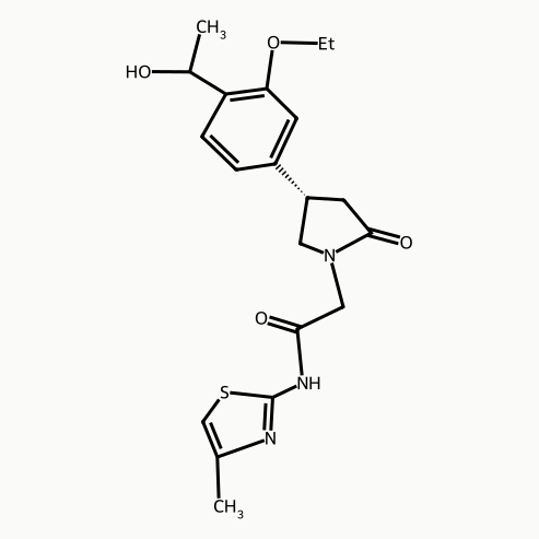 CCOc1cc([C@@H]2CC(=O)N(CC(=O)Nc3nc(C)cs3)C2)ccc1C(C)O